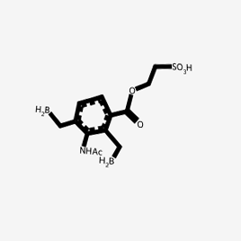 BCc1ccc(C(=O)OCCS(=O)(=O)O)c(CB)c1NC(C)=O